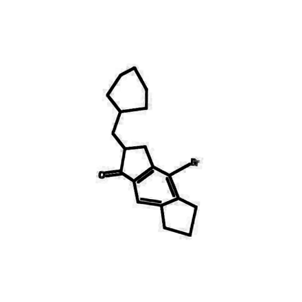 O=C1c2cc3c(c(Br)c2CC1CC1CCCCC1)CCC3